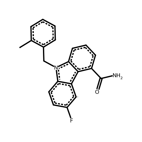 Cc1ccccc1Cn1c2ccc(F)[c]c2c2c(C(N)=O)cccc21